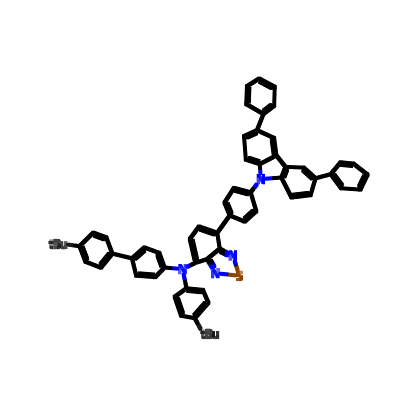 CC(C)(C)c1ccc(-c2ccc(N(c3ccc(C(C)(C)C)cc3)c3ccc(-c4ccc(-n5c6ccc(-c7ccccc7)cc6c6cc(-c7ccccc7)ccc65)cc4)c4nsnc34)cc2)cc1